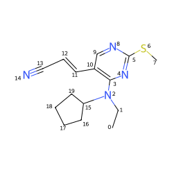 CCN(c1nc(SC)ncc1C=CC#N)C1CCCC1